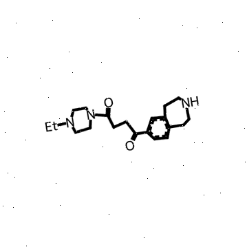 CCN1CCN(C(=O)CCC(=O)c2ccc3c(c2)CCNCC3)CC1